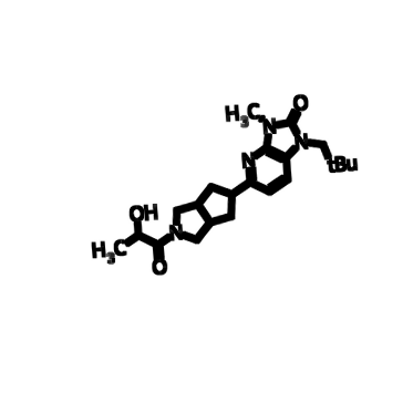 CC(O)C(=O)N1CC2CC(c3ccc4c(n3)n(C)c(=O)n4CC(C)(C)C)CC2C1